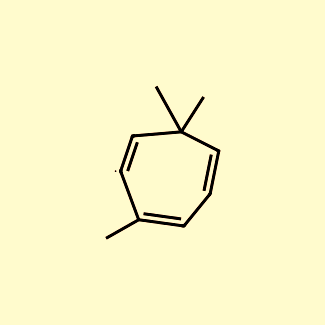 CC1=CC=CC(C)(C)C=[C]1